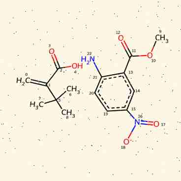 C=C(C(=O)O)C(C)(C)C.COC(=O)c1cc([N+](=O)[O-])ccc1N